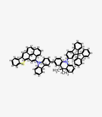 CC1(C)c2ccccc2N(c2ccc3c(c2)C2(c4ccccc4-c4ccccc42)c2ccccc2-3)c2ccc(-c3ccc4c(c3)c3ccccc3n4-c3cc4c5sc6ccccc6c5cc5ccc6cccc3c6c54)cc21